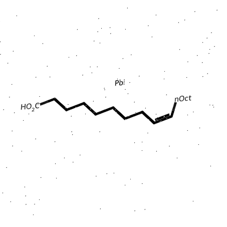 CCCCCCCC/C=C\CCCCCCCC(=O)O.[Pb]